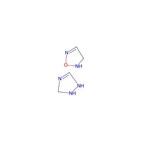 C1=NCNN1.C1=NONC1